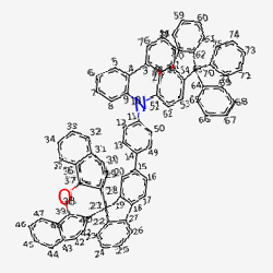 c1ccc(-c2ccccc2N(c2ccc(-c3ccc4c(c3)C3(c5ccccc5-4)c4ccc5ccccc5c4Oc4c3ccc3ccccc43)cc2)c2ccc3c(c2)-c2ccccc2C3(c2ccccc2)c2ccccc2)cc1